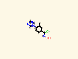 Cc1cc(/C(Cl)=N/O)ccc1-n1cncn1